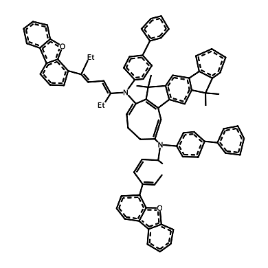 C/C=C(\C=C/C(C)N(/C1=C/C2=C(C(N(/C(=C/C=C(\CC)c3cccc4c3oc3ccccc34)CC)c3ccc(-c4ccccc4)cc3)=CCC1)C(C)(C)c1cc3c(cc12)C(C)(C)c1ccccc1-3)c1ccc(-c2ccccc2)cc1)c1cccc2c1oc1ccccc12